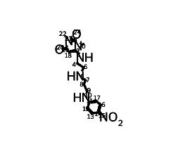 Cn1c(NCCNCCCNc2ccc([N+](=O)[O-])cc2)cc(=O)n(C)c1=O